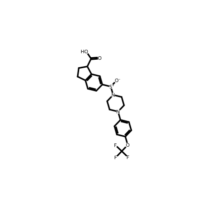 O=C(O)C1CCc2ccc([S+]([O-])N3CCN(c4ccc(OC(F)(F)F)cc4)CC3)cc21